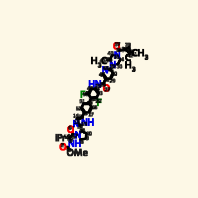 COC(=O)N[C@H](C(=O)N1CCC[C@H]1c1ncc(-c2ccc(-c3c(F)cc(NC(=O)c4ccc(N5CCN(C(=O)[C@H]6CC6(C)C)C[C@H]5C)nc4)cc3F)cc2)[nH]1)C(C)C